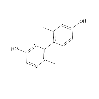 Cc1cc(O)ccc1-c1nc(O)cnc1C